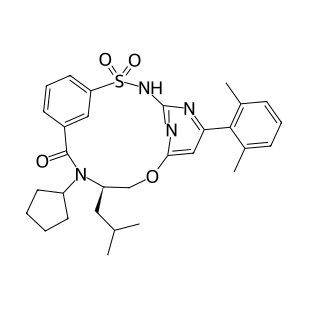 Cc1cccc(C)c1-c1cc2nc(n1)NS(=O)(=O)c1cccc(c1)C(=O)N(C1CCCC1)[C@H](CC(C)C)CO2